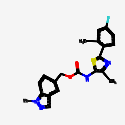 CCn1ncc2cc(COC(=O)Nc3sc(-c4ccc(F)cc4C)nc3C)ccc21